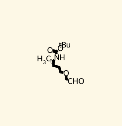 C[C@@H](CCCOCC=O)NC(=O)OC(C)(C)C